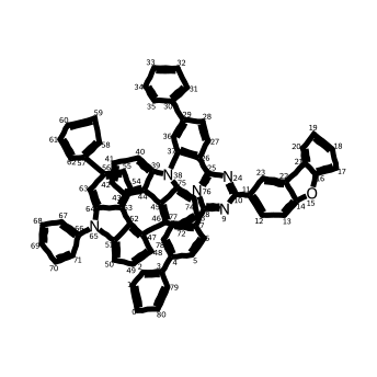 c1ccc(-c2ccc(-c3nc(-c4ccc5oc6ccccc6c5c4)nc(-c4ccc(-c5ccccc5)cc4-n4c5ccccc5c5c(-c6cccc7c6c6ccc(-c8ccccc8)cc6n7-c6ccccc6)cccc54)n3)cc2)cc1